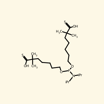 CC(C)N(C(C)C)P(OCCCCCC(C)(C)C(O)=S)OCCCCCC(C)(C)C(O)=S